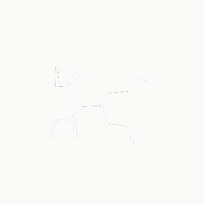 NCCN(CCN)C(n1cccn1)n1cccn1